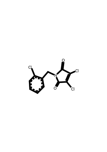 O=C1C(Cl)=C(Cl)C(=O)N1Cc1ccccc1Cl